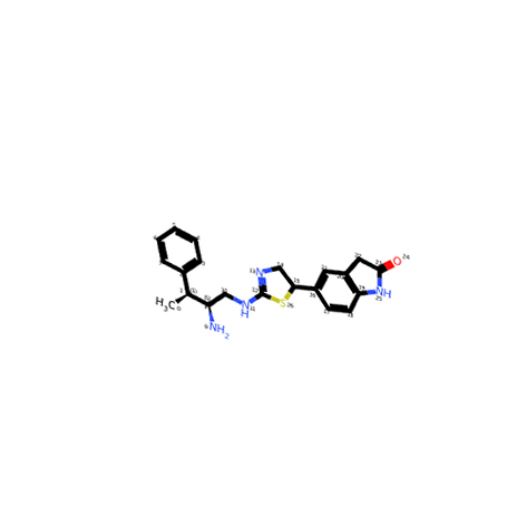 C[C@@H](c1ccccc1)[C@H](N)CNC1=NCC(c2ccc3c(c2)CC(=O)N3)S1